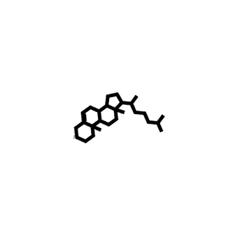 CC(C)CCCC(C)C1CCC2C3CC=C4C[C]CCC4(C)C3CCC12C